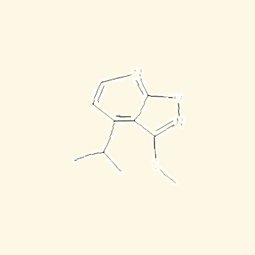 CSc1noc2nccc(C(C)C)c12